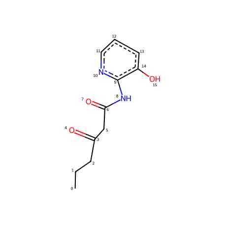 CCCC(=O)CC(=O)Nc1ncccc1O